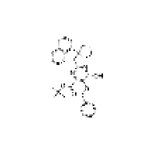 CC(C)(C)OC(=O)c1nc(CC2(c3cccc4ccccc34)CCCC2)nc(O)c1OCc1ccccc1